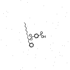 CCCCCCCCCC(Cc1ccccc1)OC(=O)c1ccc(C(=O)O)cc1